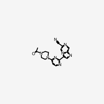 CC(=O)N1CCN(c2ccnc(-c3cnc4cnc(C#N)cn34)n2)CC1